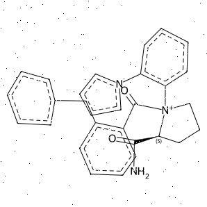 NC(=O)[C@@H]1CCC[N+]1(C(=O)c1ccccc1Cc1ccccc1)c1ccccc1-n1cccc1